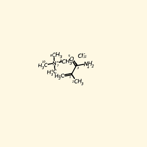 C=C(C)C(N)=O.C[N+](C)(C)C.[Cl-]